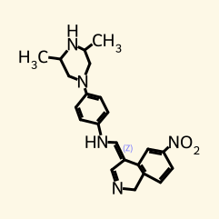 CC1CN(c2ccc(N/C=C3\C=NCc4ccc([N+](=O)[O-])cc43)cc2)CC(C)N1